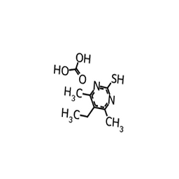 CCc1c(C)nc(S)nc1C.O=C(O)O